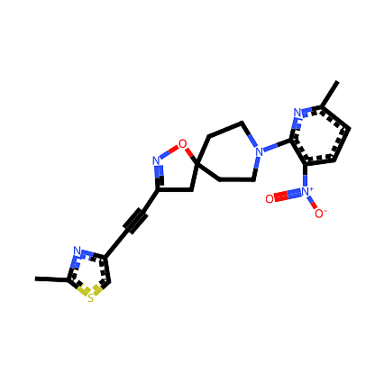 Cc1ccc([N+](=O)[O-])c(N2CCC3(CC2)CC(C#Cc2csc(C)n2)=NO3)n1